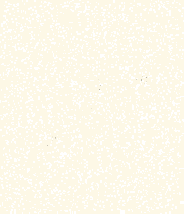 O=P(c1ccccc1)(c1ccccc1)c1ccc(-c2ccc3c(c2)-c2cccc4c2c-3cc2oc3ccccc3c24)cc1